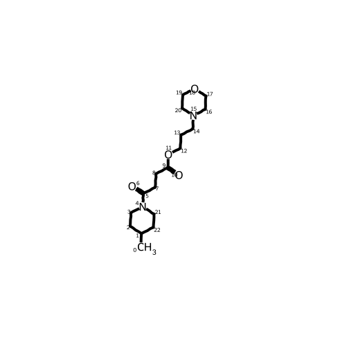 CC1CCN(C(=O)CCC(=O)OCCCN2CCOCC2)CC1